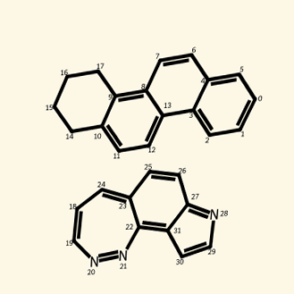 c1ccc2c(c1)ccc1c3c(ccc12)CCCC3.c1cnnc2c(c1)ccc1nccc12